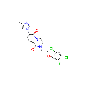 Cc1cn(-c2ccc3n(c2=O)CCN(CCOc2cc(Cl)c(Cl)cc2Cl)C3=O)cn1